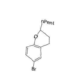 CCCCCC1CCc2cc(Br)ccc2O1